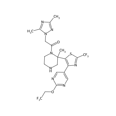 Cc1nc(C)n(CC(=O)N2CCNCC2(C)c2sc(C(F)(F)F)nc2-c2cnc(OCC(F)(F)F)nc2)n1